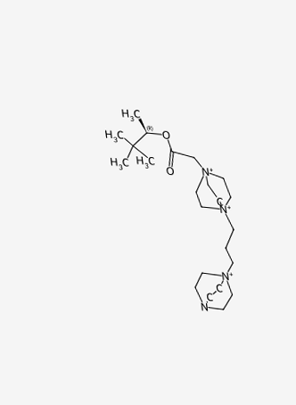 C[C@@H](OC(=O)C[N+]12CC[N+](CCC[N+]34CCN(CC3)CC4)(CC1)CC2)C(C)(C)C